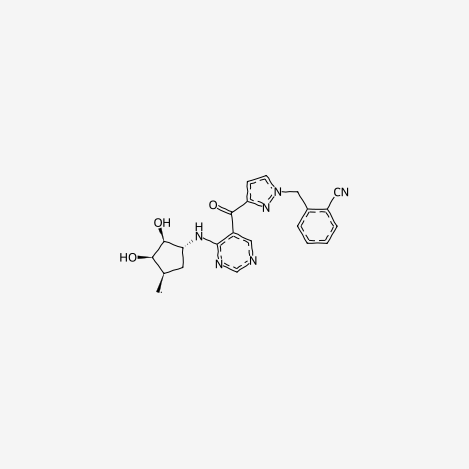 [CH2][C@@H]1C[C@@H](Nc2ncncc2C(=O)c2ccn(Cc3ccccc3C#N)n2)[C@H](O)[C@@H]1O